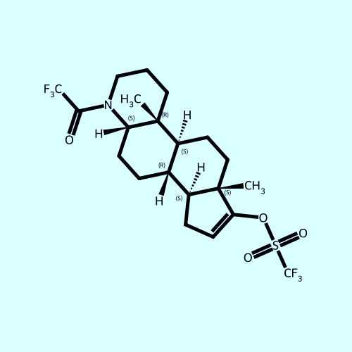 C[C@]12CCCN(C(=O)C(F)(F)F)[C@H]1CC[C@@H]1[C@@H]2CC[C@]2(C)C(OS(=O)(=O)C(F)(F)F)=CC[C@@H]12